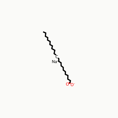 CCCCCCCCCCCCCCCCCCCCCCCCC(=O)[O-].[Na+]